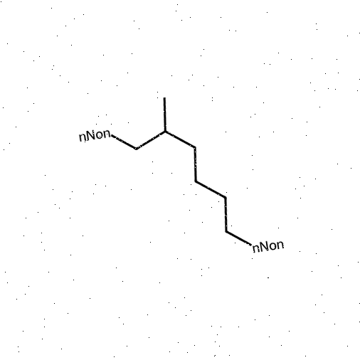 [CH2]CCCCCCCCCCCCC(C)CCCCCCCCC[CH2]